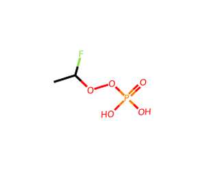 CC(F)OOP(=O)(O)O